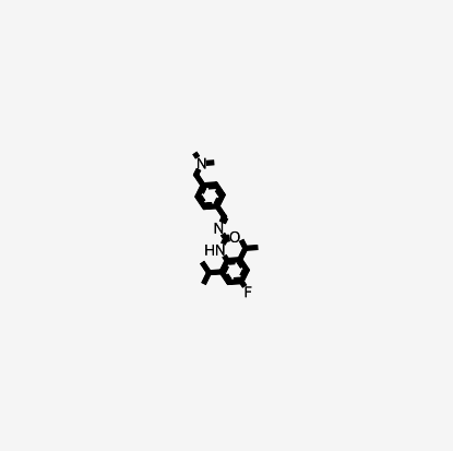 CC(C)c1cc(F)cc(C(C)C)c1NC(=O)N=Cc1ccc(CN(C)C)cc1